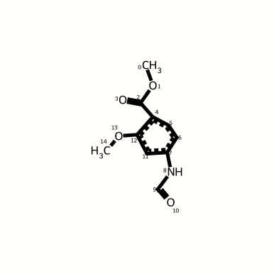 COC(=O)c1ccc(N[C]=O)cc1OC